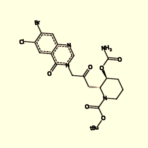 CC(C)(C)OC(=O)N1CCC[C@H](OC(N)=O)[C@H]1CC(=O)Cn1cnc2cc(Br)c(Cl)cc2c1=O